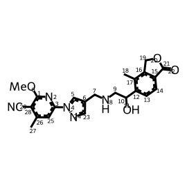 COc1nc(-n2cc(CNCC(O)c3ccc4c(c3C)COC4=O)cn2)cc(C)c1C#N